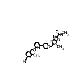 COC(=O)c1nc2nc(CN3CCC(c4cccc(OCc5ccc(C#N)cc5C)n4)CC3)n(C)c2o1